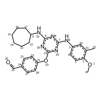 COc1ccc(Nc2nc(NC3CCCCCC3)nc(Oc3ccc(C=O)cc3)n2)cc1C